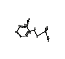 [O]C(=O)CCc1ccccc1F